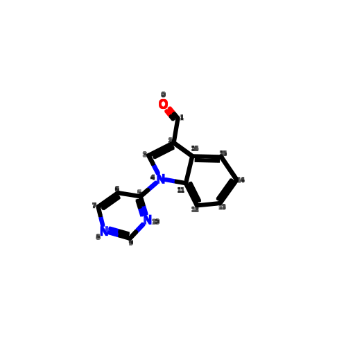 O=Cc1cn(-c2ccncn2)c2ccccc12